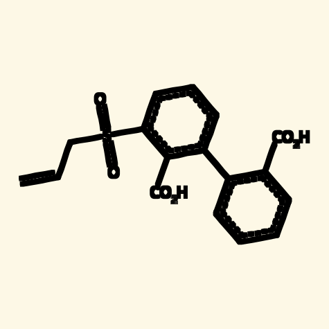 C=CCS(=O)(=O)c1cccc(-c2ccccc2C(=O)O)c1C(=O)O